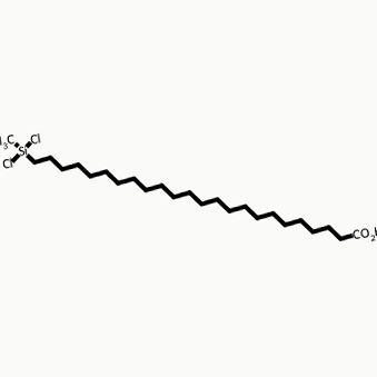 C[Si](Cl)(Cl)CCCCCCCCCCCCCCCCCCCCCCCC(=O)O